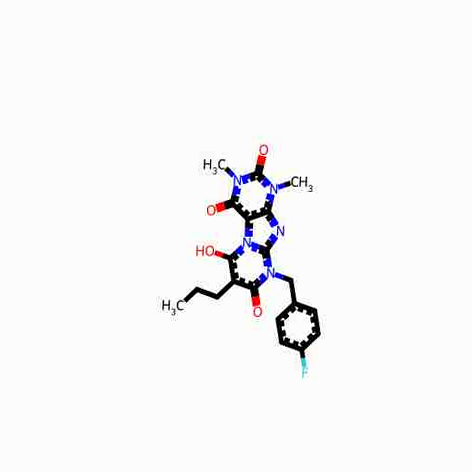 CCCc1c(O)n2c3c(=O)n(C)c(=O)n(C)c3nc2n(Cc2ccc(F)cc2)c1=O